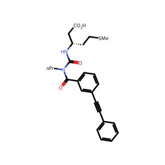 CCCN(C(=O)N[C@@H](CCSC)CC(=O)O)C(=O)c1cccc(C#Cc2ccccc2)c1